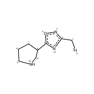 [2H]Cc1noc(C2CCCNC2)n1